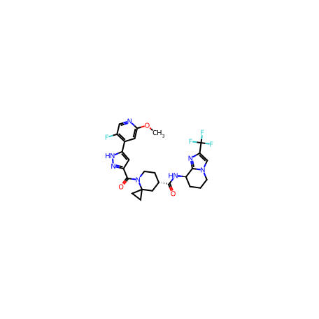 COc1cc(-c2cc(C(=O)N3CC[C@H](C(=O)N[C@@H]4CCCn5cc(C(F)(F)F)nc54)CC34CC4)n[nH]2)c(F)cn1